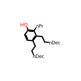 CCCCCCCCCCCCc1ccc(O)c(CCC)c1CCCCCCCCCCCC